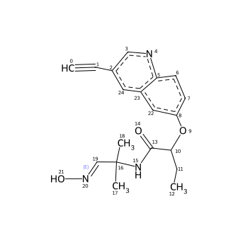 C#Cc1cnc2ccc(OC(CC)C(=O)NC(C)(C)/C=N/O)cc2c1